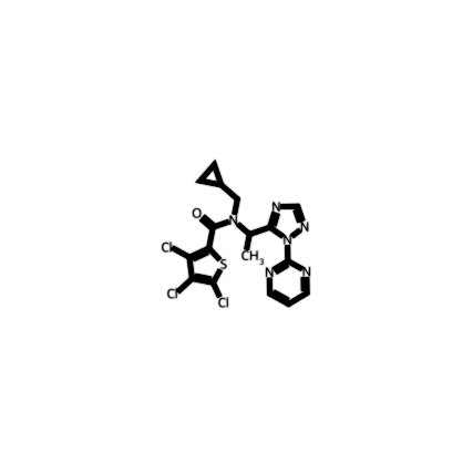 CC(c1ncnn1-c1ncccn1)N(CC1CC1)C(=O)c1sc(Cl)c(Cl)c1Cl